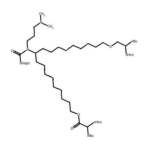 CCCCCCCC(=O)N(CCCN(C)C)C(CCCCCCCCCOCC(CCCC)CCCCCC)CCCCCCCCCOC(=O)C(CCCC)CCCCCC